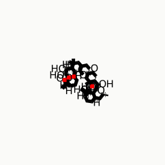 C=C1C(=O)[C@]23[C@H](C)[C@H]1CC[C@H]2[C@@]12CO[C@]3(O)[C@@H](O)[C@@H]1C(C)(C)CC1=C2O[C@]2(CC1)CC(C)(C)[C@@H]([C@H](O)[C@@]1(O)O[C@@H](C)C[C@@H]3CC[C@H]4C(=C)C(=O)[C@]31[C@@H]4O)CC2=O